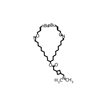 CCCC/C=C/CO/N=C\CCCCCCCCC(CCCCCCCC/C=N\OC/C=C/CCCC)OC(=O)CC1CC(CN(C)C)C1